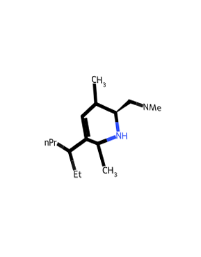 CCCC(CC)C1=CC(C)[C@@H](CNC)NC1C